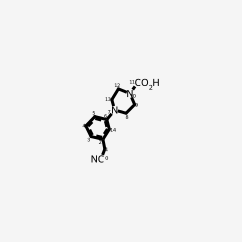 N#CCc1cccc(N2CCN(C(=O)O)CC2)c1